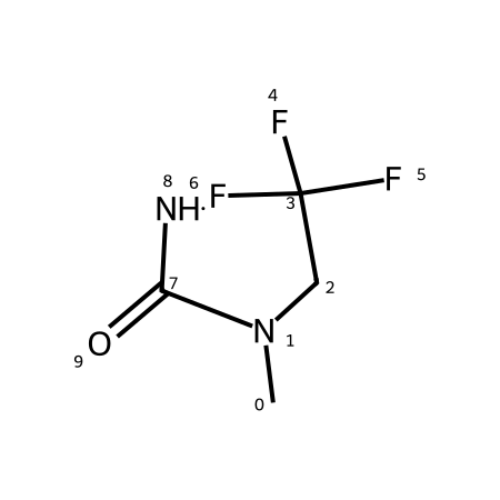 CN(CC(F)(F)F)C([NH])=O